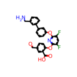 NCc1cccc(-c2cccc(Oc3nc(Oc4ccc(C=O)cc4C(=O)O)c(F)cc3F)c2)c1